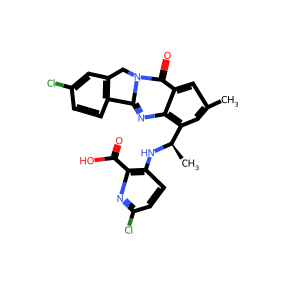 Cc1cc([C@@H](C)Nc2ccc(Cl)nc2C(=O)O)c2nc3n(c(=O)c2c1)Cc1cc(Cl)ccc1-3